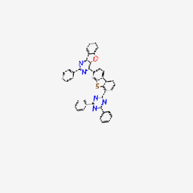 c1ccc(-c2nc(-c3ccccc3)nc(-c3cccc4c3sc3cc(-c5nc(-c6ccccc6)nc6c5oc5ccccc56)ccc34)n2)cc1